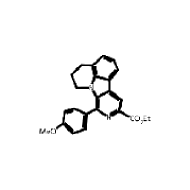 CCOC(=O)c1cc2c3cccc4c3n(c2c(-c2ccc(OC)cc2)n1)CCC4